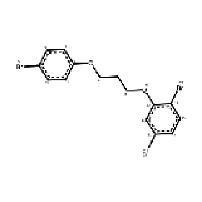 Brc1ccc(OCCCOc2cc(Br)ccc2Br)cc1